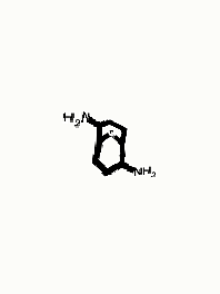 NC1CCC2SC1CCC2N